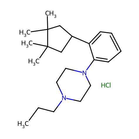 CCCN1CCN(c2ccccc2C2CC(C)(C)C(C)(C)C2)CC1.Cl